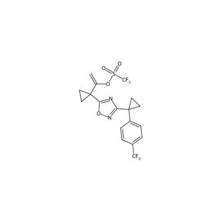 C=C(OS(=O)(=O)C(F)(F)F)C1(c2nc(C3(c4ccc(C(F)(F)F)cc4)CC3)no2)CC1